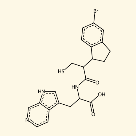 O=C(O)C(Cc1c[nH]c2cnccc12)NC(=O)C(CS)C1CCc2cc(Br)ccc21